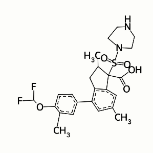 Cc1cc(-c2ccc(OC(F)F)c(C)c2)c2c(c1)C(C(=O)O)(S(=O)(=O)N1CCNCC1)C(C)C2